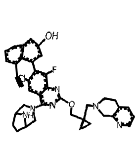 C#Cc1cccc2cc(O)cc(-c3c(Cl)cc4c(N5CC6CCC(C5)N6)nc(OCC5(CN6CCc7cccnc7C6)CC5)nc4c3F)c12